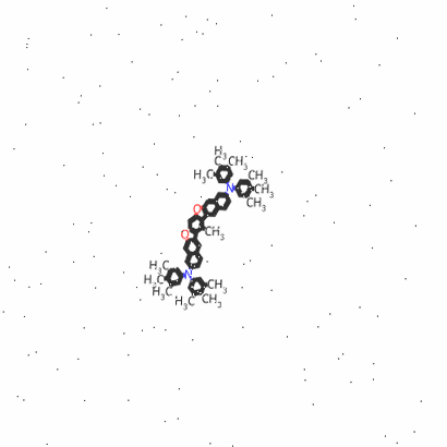 Cc1cc(N(c2cc(C)c(C)c(C)c2)c2ccc3cc4c(cc3c2)oc2cc3oc5cc6cc(N(c7cc(C)c(C)c(C)c7)c7cc(C)c(C)c(C)c7)ccc6cc5c3c(C)c24)cc(C)c1C